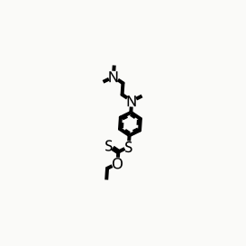 CCOC(=S)Sc1ccc(N(C)CCN(C)C)cc1